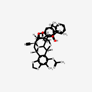 COc1c(C)cc2c(c1O)[C@@H]1C3[C@@H]4SC[C@H](NC(=O)c5cccnc5Cl)C(=O)OC[C@@H](c5c6c(c(C)c(OC(C)=O)c54)OCO6)N3[C@@H](C#N)[C@H](C2)N1C